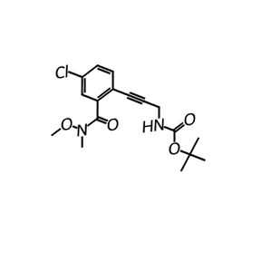 CON(C)C(=O)c1cc(Cl)ccc1C#CCNC(=O)OC(C)(C)C